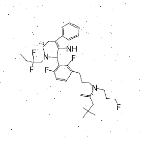 C=C(CC(C)(C)C)N(CCCF)CCCc1ccc(F)c(C2c3[nH]c4ccccc4c3C[C@@H](C)N2CC(F)(F)CC)c1F